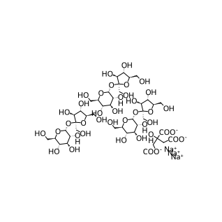 O=C([O-])CC(O)(CC(=O)[O-])C(=O)[O-].OC[C@H]1O[C@@](CO)(O[C@H]2O[C@H](CO)[C@@H](O)[C@H](O)[C@H]2O)[C@@H](O)[C@@H]1O.OC[C@H]1O[C@@](CO)(O[C@H]2O[C@H](CO)[C@@H](O)[C@H](O)[C@H]2O)[C@@H](O)[C@@H]1O.OC[C@H]1O[C@@](CO)(O[C@H]2O[C@H](CO)[C@@H](O)[C@H](O)[C@H]2O)[C@@H](O)[C@@H]1O.[Na+].[Na+].[Na+]